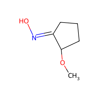 COC1CCCC1=NO